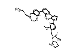 COc1nc(-c2cccc(-c3cccc(-c4ccc5c(n4)OCCN(CCO)C5)c3Cl)c2Cl)ccc1CN(C[C@@H]1CCC(=O)N1)C(=O)O